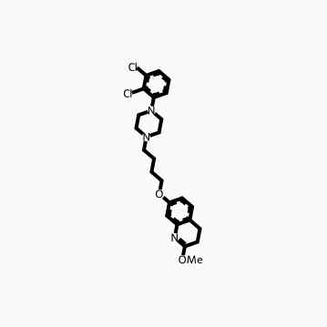 COC1=Nc2cc(OCCCCN3CCN(c4cccc(Cl)c4Cl)CC3)ccc2CC1